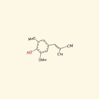 COc1cc(C=C(C#N)C#N)cc(OC)c1O